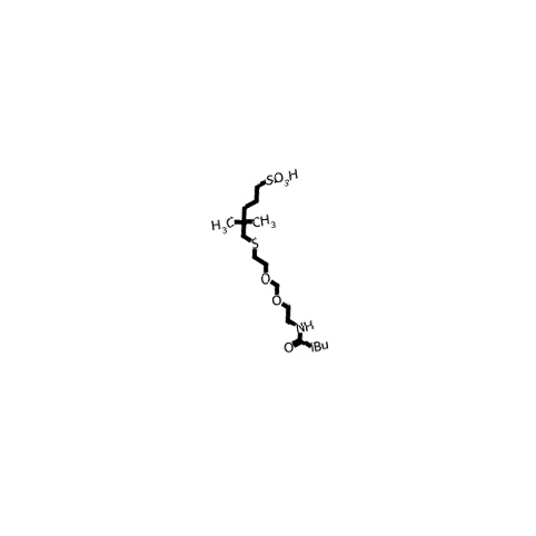 CCC(C)C(=O)NCCOCOCCSCC(C)(C)CCCS(=O)(=O)O